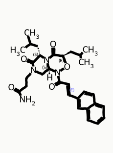 CC(C)C[C@H]1ON(C(=O)/C=C/c2ccc3ccccc3c2)[C@H]2CN(CCC(N)=O)C(=O)[C@H](CC(C)C)N2C1=O